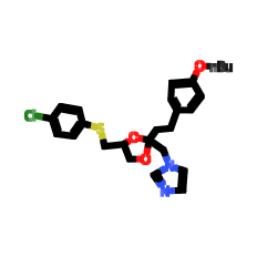 CCCCOc1ccc(CCC2(Cn3ccnc3)OCC(CSc3ccc(Cl)cc3)O2)cc1